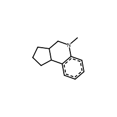 CN1CC2CCCC2c2ccccc21